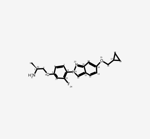 C[C@H](N)COc1ccc(-n2cc3ccc(OCC4CC4)cc3n2)c(F)c1